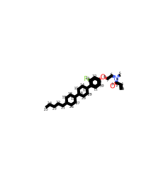 C=CC(=O)N(C)CCOc1ccc(C2CCC(C3CCC(CCCCC)CC3)CC2)c(F)c1